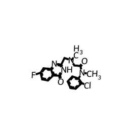 CN(CC(=O)N(C)c1ccccc1Cl)Cc1nc2cc(F)ccc2c(=O)[nH]1